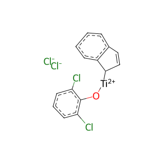 Clc1cccc(Cl)c1[O][Ti+2][CH]1C=Cc2ccccc21.[Cl-].[Cl-]